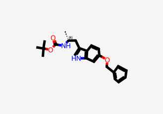 C[C@H](Cc1c[nH]c2cc(OCc3ccccc3)ccc12)NC(=O)OC(C)(C)C